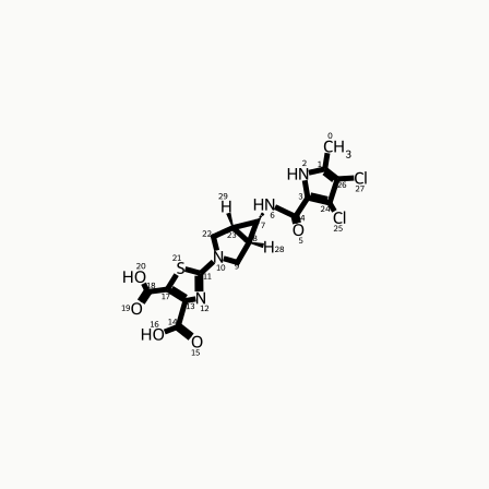 Cc1[nH]c(C(=O)N[C@@H]2[C@@H]3CN(c4nc(C(=O)O)c(C(=O)O)s4)C[C@@H]32)c(Cl)c1Cl